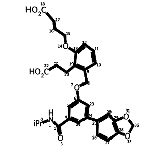 CC(C)NC(=O)c1cc(OCc2cccc(OCCCC(=O)O)c2CCC(=O)O)cc(-c2ccc3c(c2)OCO3)c1